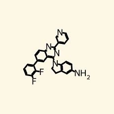 Nc1ccc2c(c1)CCN2c1nc(-c2cccnc2)nc2ccc(-c3cccc(F)c3F)cc12